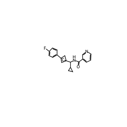 O=C(NC(C1CC1)C12CC(c3ccc(F)cc3)(C1)C2)c1cccnc1